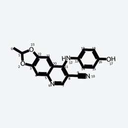 CC1Oc2cc3ncc(C#N)c(Nc4ccc(O)cc4)c3cc2O1